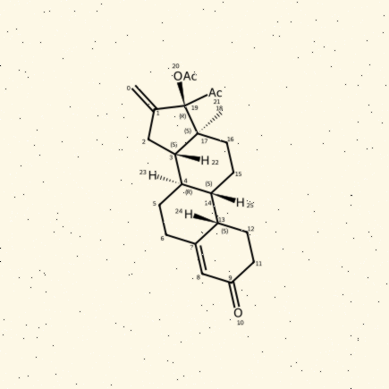 C=C1C[C@H]2[C@@H]3CCC4=CC(=O)CC[C@H]4[C@H]3CC[C@]2(C)[C@@]1(OC(C)=O)C(C)=O